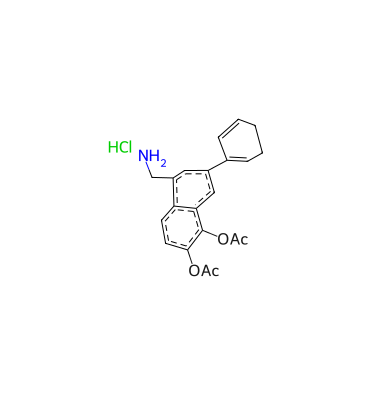 CC(=O)Oc1ccc2c(CN)cc(C3=CCCC=C3)cc2c1OC(C)=O.Cl